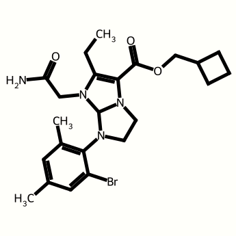 CCC1=C(C(=O)OCC2CCC2)N2CCN(c3c(C)cc(C)cc3Br)C2N1CC(N)=O